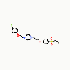 CS(=O)(=O)c1ccc(OCCCN2CCN(CCOc3ccc(F)cc3)CC2)cc1